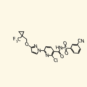 N#Cc1cccc(S(=O)(=O)NC(=O)c2ccc(-n3ccc(OCC4(C(F)(F)F)CC4)n3)nc2Cl)c1